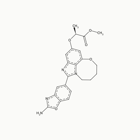 COC(=O)[C@H](C)Oc1cc2c3c(c1)nc(-c1ccc4oc(N)nc4c1)n3CCCCO2